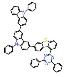 c1ccc(-c2nc(-c3ccccc3)nc(-c3cccc4sc5cc(-c6ccc7c(c6)c6cc(-c8ccc9c(c8)c8ccccc8n9-c8ccccc8)ccc6n7-c6ccccc6)ccc5c34)n2)cc1